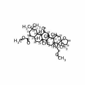 COCC[C@@]1(C)[C@@H]2CC[C@]3(C)C(=CC(=O)[C@@H]4[C@@H]5CC(C)(C)C[C@@H](C(=O)OC)C5CC[C@]43C)[C@@]2(C)CCC12OCCO2